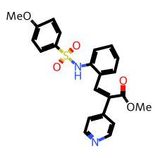 COC(=O)C(=Cc1ccccc1NS(=O)(=O)c1ccc(OC)cc1)c1ccncc1